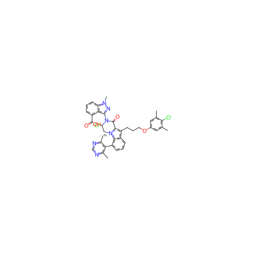 Cc1cc(OCCCc2c3n(c4c(-c5c(C)ncnc5C)cccc24)[C@H](C)C(Cl)N(c2nn(C)c4cccc(C(=O)O)c24)C3=O)cc(C)c1Cl